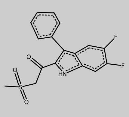 CS(=O)(=O)CC(=O)c1[nH]c2cc(F)c(F)cc2c1-c1ccccc1